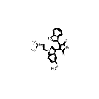 CSc1ccc2c(c1)c(C1=C(c3c[nH]c4ccccc34)C(=O)NC1=O)cn2CCN(C)C